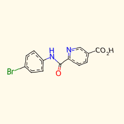 O=C(O)c1ccc(C(=O)Nc2ccc(Br)cc2)nc1